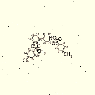 Cc1ccc(S(=O)(=O)ON2CC=C(c3cccc4c3O[C@@](C)(c3ccc(Cl)cc3F)O4)CC2)cc1